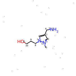 C[n+]1cc(CN)cn1CCCO